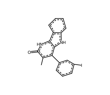 Cc1c(-c2cccc(I)c2)c2[nH]c3ccccc3c2[nH]c1=O